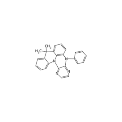 CC1(C)c2ccccc2N2c3nccnc3N(c3ccccc3)c3cccc1c32